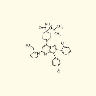 CC(C)OC1(C(N)=O)CCN(c2cc(N3CCC[C@H]3CO)nc3c(-c4ccc(Cl)cc4)c(-c4ccccc4Cl)nn23)CC1